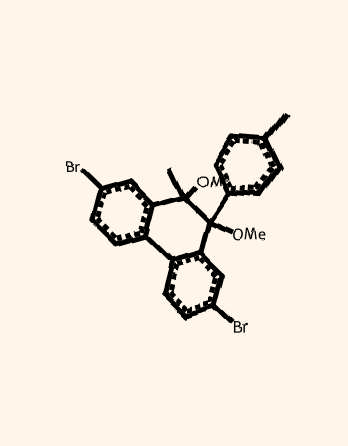 COC1(C)c2cc(Br)ccc2-c2ccc(Br)cc2C1(OC)c1ccc(C)cc1